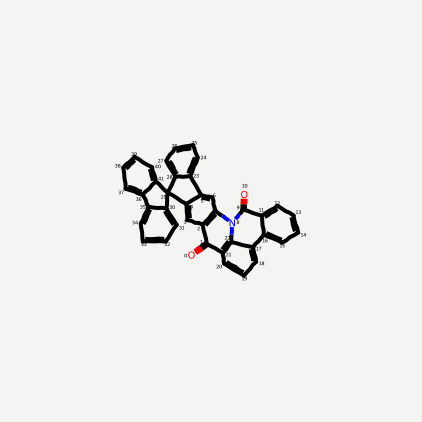 O=c1c2cc3c(cc2n2c(=O)c4ccccc4c4cccc1c42)-c1ccccc1C31c2ccccc2-c2ccccc21